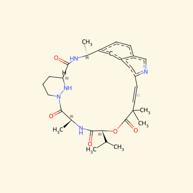 CC(C)[C@@H]1OC(=O)C(C)(C)/C=C/c2cc3cc(ccc3cn2)[C@@H](C)NC(=O)[C@@H]2CCCN(N2)C(=O)[C@H](C)NC1=O